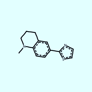 CN1CCCc2cc(-c3nccs3)ccc21